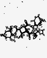 CC1CNCC(C)N1OC(=O)C1OC(C(=O)ON2CCCNCC2)C(C(=O)OC(=O)C2(N)CCCC2)C1C(=O)O